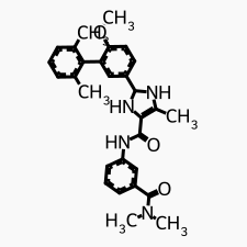 COc1ccc(C2NC(C)=C(C(=O)Nc3cccc(C(=O)N(C)C)c3)N2)cc1-c1c(C)cccc1C